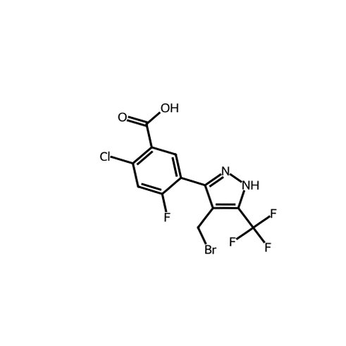 O=C(O)c1cc(-c2n[nH]c(C(F)(F)F)c2CBr)c(F)cc1Cl